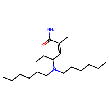 CCCCCCN(CCCCCC)C(C=C(C)C(N)=O)CC